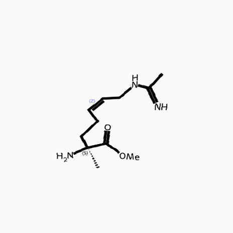 COC(=O)[C@@](C)(N)CC/C=C\CNC(C)=N